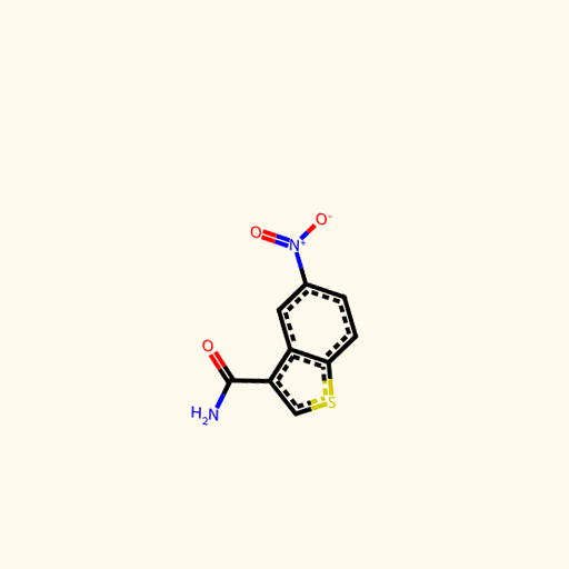 NC(=O)c1csc2ccc([N+](=O)[O-])cc12